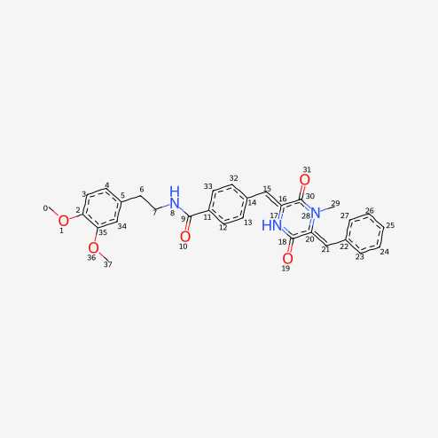 COc1ccc(CCNC(=O)c2ccc(/C=c3\[nH]c(=O)/c(=C/c4ccccc4)n(C)c3=O)cc2)cc1OC